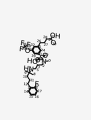 CN(CC(O)CNC(C)(C)CCCc1ccccc1F)S(=O)(=O)c1cc(CCCC(=O)O)cc(OC(F)(F)F)c1